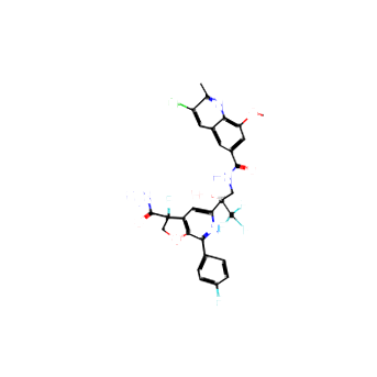 COc1cc(C(=O)NC[C@](O)(c2cc3c(c(-c4ccc(F)cc4)n2)OCC3(F)C(N)=O)C(F)(F)F)cc2cc(Cl)c(C)nc12